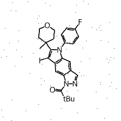 CC(C)(C)C(=O)n1ncc2cc3c(cc21)c(I)c(C1(C)CCOCC1)n3-c1ccc(F)cc1